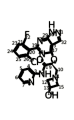 O=C(Nc1ccccn1)[C@H](CN1CC(O)C1)Oc1nc(-c2c(F)cccc2Cl)nc2[nH]ncc12